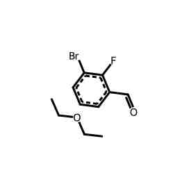 CCOCC.O=Cc1cccc(Br)c1F